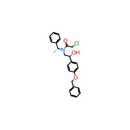 C[C@H](c1ccccc1)N(C[C@@H](O)c1ccc(OCc2ccccc2)cc1)C(=O)CCl